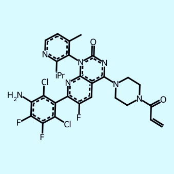 C=CC(=O)N1CCN(c2nc(=O)n(-c3c(C)ccnc3C(C)C)c3nc(-c4c(Cl)c(N)c(F)c(F)c4Cl)c(F)cc23)CC1